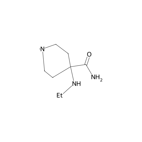 CCNC1(C(N)=O)CC[N]CC1